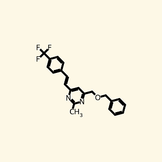 Cc1nc(/C=C/c2ccc(C(F)(F)F)cc2)cc(COCc2ccccc2)n1